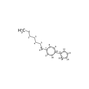 CCCCCCSc1ccc(-c2cccs2)cc1